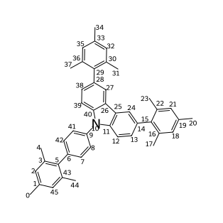 Cc1cc(C)c(-c2ccc(-n3c4ccc(-c5c(C)cc(C)cc5C)cc4c4cc(-c5c(C)cc(C)cc5C)ccc43)cc2)c(C)c1